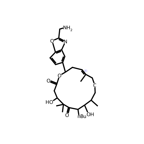 CCCCC1C(=O)C(C)(C)C(O)CC(=O)OC(c2ccc3oc(CN)nc3c2)C/C=C(\C)CCCC(C)C1O